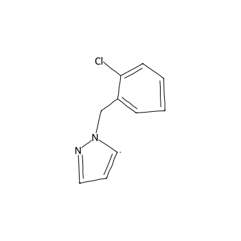 Clc1ccccc1Cn1[c]ccn1